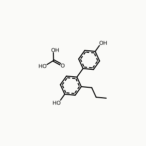 CCCc1cc(O)ccc1-c1ccc(O)cc1.O=C(O)O